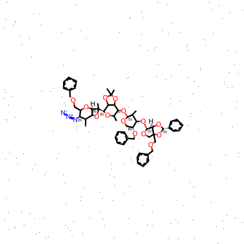 CC1C(O[C@@H]2OCC3(COCc4ccccc4)O[C@@H](c4ccccc4)O[C@H]23)[C@H](OCc2ccccc2)CO[C@H]1O[C@H]1C(C)O[C@@H](C2(C)OC3C(C)[C@@H](N=[N+]=[N-])C(COCc4ccccc4)O[C@H]32)C2OC(C)(C)OC21